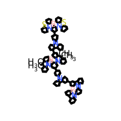 CC1(C)c2ccccc2N2c3cc(-c4ccc(-n5c6ccccc6c6cc(-c7cc8c9c(c7)c7ccccc7n9-c7cccc9c7B8c7cccc8c%10ccccc%10n-9c78)ccc65)cc4)cc4c3B(c3cccc1c32)c1cc(-c2cccc3c2c2ccccc2n3-c2ccc(-c3cc5c6c(c3)N3c7ccccc7Sc7cccc(c73)B6c3cccc6c3N5c3ccccc3S6)cc2)cc2c1N4c1ccccc1C2(C)C